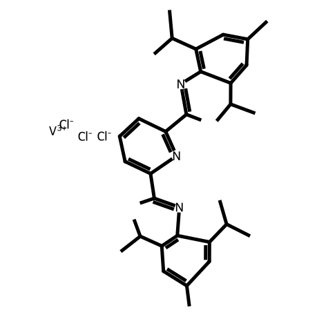 CC(=Nc1c(C(C)C)cc(C)cc1C(C)C)c1cccc(C(C)=Nc2c(C(C)C)cc(C)cc2C(C)C)n1.[Cl-].[Cl-].[Cl-].[V+3]